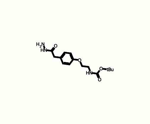 CC(C)(C)OC(=O)NCCOc1ccc(CC(=O)NN)cc1